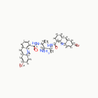 CCC(NC(=O)c1cccc2cc3cc(Br)ccc3nc12)C(N)C(CC)NC(=O)c1cccc2cc3cc(Br)ccc3nc12